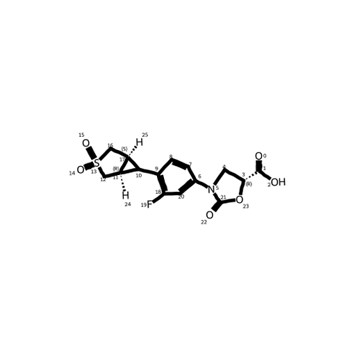 O=C(O)[C@H]1CN(c2ccc(C3[C@H]4CS(=O)(=O)C[C@@H]34)c(F)c2)C(=O)O1